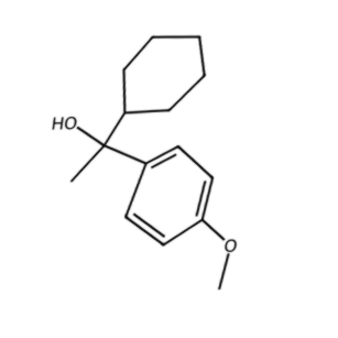 COc1ccc(C(C)(O)C2CCCCC2)cc1